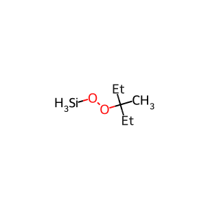 CCC(C)(CC)OO[SiH3]